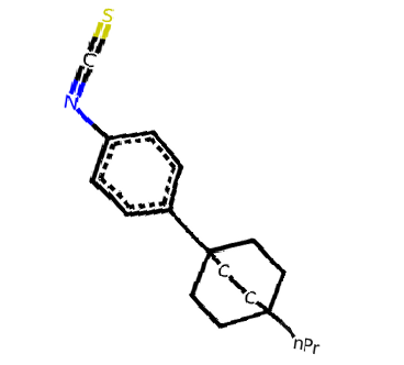 CCCC12CCC(c3ccc(N=C=S)cc3)(CC1)CC2